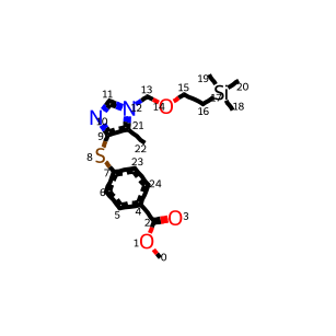 COC(=O)c1ccc(Sc2ncn(COCC[Si](C)(C)C)c2C)cc1